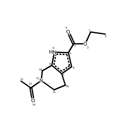 CCOC(=O)c1cc2c([nH]1)CN(C(C)=O)CC2